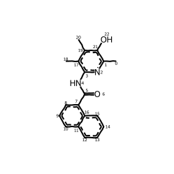 Cc1nc(NC(=O)c2cccc3ccccc23)c(C)c(C)c1O